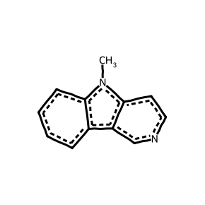 Cn1c2ccccc2c2cnccc21